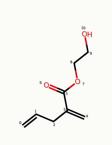 C=CCC(=C)C(=O)OCCO